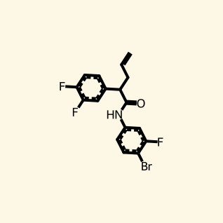 C=CCC(C(=O)Nc1ccc(Br)c(F)c1)c1ccc(F)c(F)c1